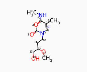 CNC(=O)/C(C)=C\N(C=O)CCC(CO)OC